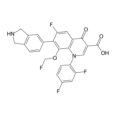 O=C(O)c1cn(-c2ccc(F)cc2F)c2c(OCF)c(-c3ccc4c(c3)CNC4)c(F)cc2c1=O